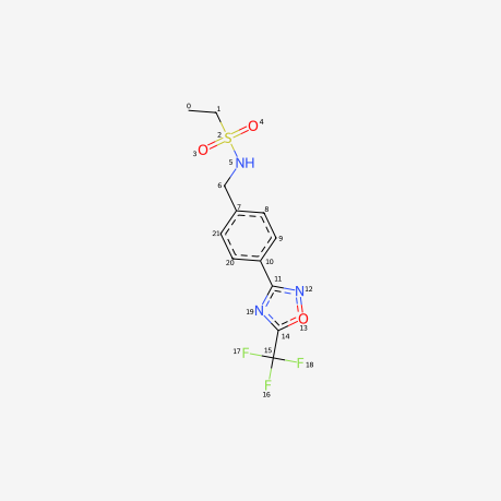 CCS(=O)(=O)NCc1ccc(-c2noc(C(F)(F)F)n2)cc1